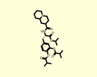 CC(C)OC(=O)[C@H](Cc1ccc(OC(=O)C(C)C)c(OC(=O)C(C)C)c1)NC(=O)C1CCN2CCCCC2C1